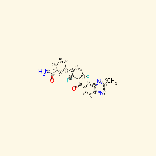 Cc1cnc2ccc(C(=O)c3c(F)ccc(-c4cccc(C(N)=O)c4)c3F)cc2n1